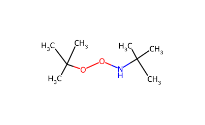 CC(C)(C)NOOC(C)(C)C